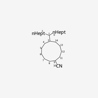 CCCCCCCC(CCCCCCC)C1CCCCCC(C#N)CCCC1